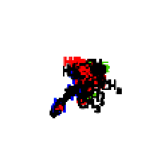 COC(=O)N[C@H](C(=O)N[C@@H](Cc1ccc(C#Cc2cnc(N3CC4CCC(C3)N4C3COC3)nc2)cc1)[C@H](CN(Cc1c(F)cc(-c2ccn(C(F)F)n2)cc1F)NC(=O)[C@@H](NC(=O)OC)C(C)(C)C(F)(F)F)OC(=O)CC(C)(C)c1c(CC(=O)N2CC(C(=O)OC)CC(C(=O)OC)C2)cc(C)cc1OP(=O)(O)O)C(C)(C)C(F)(F)F